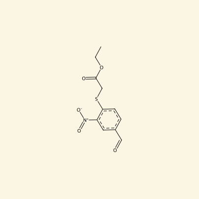 CCOC(=O)CSc1ccc(C=O)cc1[N+](=O)[O-]